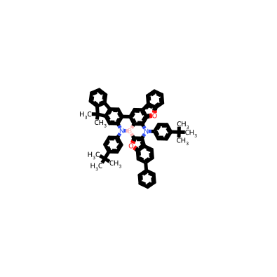 CC(C)(C)c1ccc(N2B3c4oc5cc(-c6ccccc6)ccc5c4N(c4ccc(C(C)(C)C)cc4)c4c3c(cc3c4oc4ccccc43)-c3cc4c(cc32)C(C)(C)c2ccccc2-4)cc1